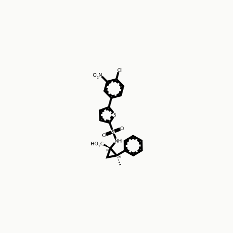 C[C@]1(c2ccccc2)C[C@@]1(NS(=O)(=O)c1ccc(-c2ccc(Cl)c([N+](=O)[O-])c2)s1)C(=O)O